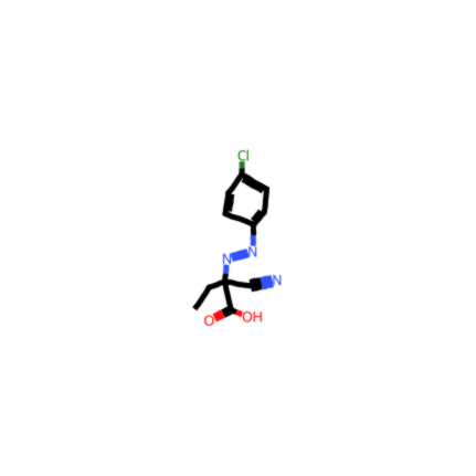 CCC(C#N)(N=Nc1ccc(Cl)cc1)C(=O)O